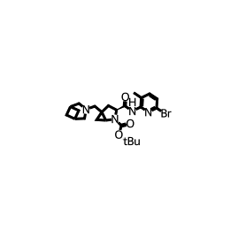 Cc1ccc(Br)nc1NC(=O)[C@@H]1CC2(CN3CC4CC(C4)C3)CC2N1C(=O)OC(C)(C)C